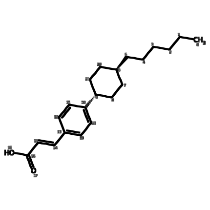 CCCCCC[C@H]1CC[C@H](c2ccc(C=CC(=O)O)cc2)CC1